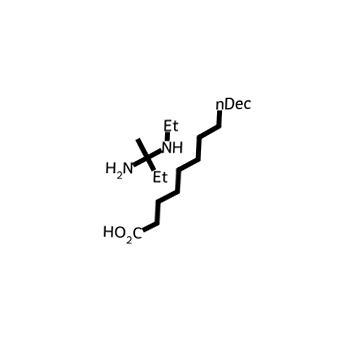 CCCCCCCCCCCCCCCCCC(=O)O.CCNC(C)(N)CC